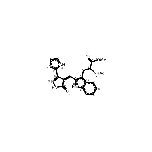 COC(=O)C(Cc1c(C=C2C(=O)NN=C2c2ncc[nH]2)[nH]c2ccccc12)NC(C)=O